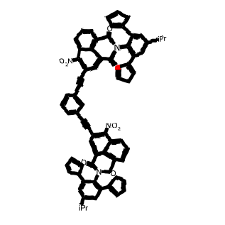 CC(C)c1cc(C2=CCC=C2)c(N2C(=O)c3cccc4c([N+](=O)[O-])c(C#Cc5cccc(C#Cc6cc7c8c(cccc8c6[N+](=O)[O-])C(=O)N(c6c(C8=CC=CC8)cc(C(C)C)cc6C6C=CC=C6)C7=O)c5)cc(c34)C2=O)c(C2=CC=CC2)c1